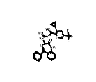 N=C(NC1N=C(c2ccccc2)c2ccccc2NC1=O)OC(=N)c1ncc(C(F)(F)F)cc1C1CC1